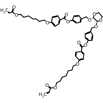 C=CC(=O)OCCCCCCCOc1ccc(C(=O)Oc2ccc(CO[C@@H]3OCCO[C@H]3OCc3ccc(OC(=O)c4ccc(OCCCCCCCOC(=O)C=C)cc4)cc3)cc2)cc1